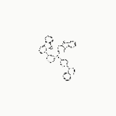 c1cc(-c2cccc3c2sc2ccccc23)cc(N(c2ccc(-c3cccc4ccccc34)cc2)c2ccc3sc4ccccc4c3c2)c1